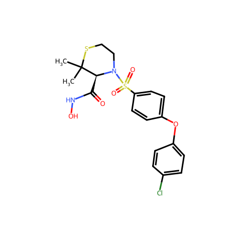 CC1(C)SCCN(S(=O)(=O)c2ccc(Oc3ccc(Cl)cc3)cc2)[C@H]1C(=O)NO